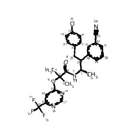 CC(NC(=O)C(C)(C)Oc1cc(C(F)(F)F)ncn1)C(Cc1ccc(Cl)cc1)c1cccc(C#N)c1